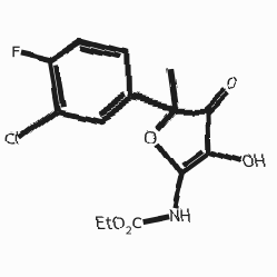 CCOC(=O)NC1=C(O)C(=O)C(C)(c2ccc(F)c(Cl)c2)O1